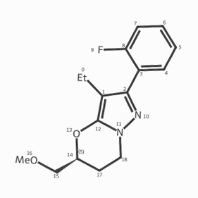 CCc1c(-c2ccccc2F)nn2c1O[C@H](COC)CC2